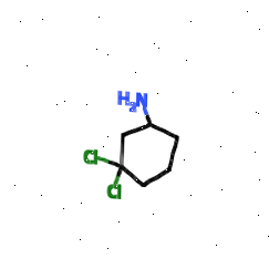 NC1CCCC(Cl)(Cl)C1